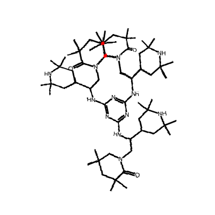 CC1(C)CN(CC(Nc2nc(NC(CN3CC(C)(C)CC(C)(C)C3=O)C3CC(C)(C)NC(C)(C)C3)nc(NC(CN3CC(C)(C)CC(C)(C)C3=O)C3CC(C)(C)NC(C)(C)C3)n2)C2CC(C)(C)NC(C)(C)C2)C(=O)C(C)(C)C1